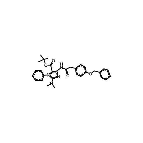 CN(C)c1nc(NC(=O)Cc2ccc(OCc3ccccc3)cc2)c(C(=O)OC(C)(C)C)n1-c1ccccc1